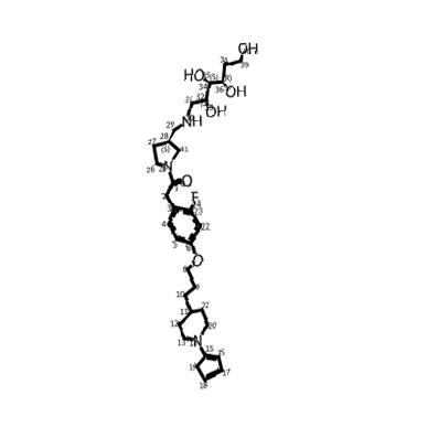 O=C(Cc1ccc(OCCCC2CCN(C3=CC=CC3)CC2)cc1F)N1CC[C@@H](CNC[C@H](O)[C@@H](O)[C@H](O)CCO)C1